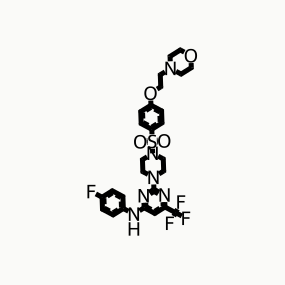 O=S(=O)(c1ccc(OCCN2CCOCC2)cc1)N1CCN(c2nc(Nc3ccc(F)cc3)cc(C(F)(F)F)n2)CC1